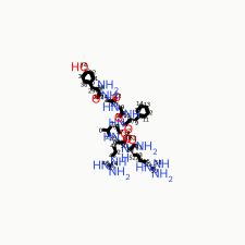 CC(C)C[C@H](NC(=O)[C@H](Cc1ccccc1)NC(=O)CNC(=O)CNC(=O)[C@@H](N)Cc1ccc(O)cc1)C(=O)N[C@@H](CCCNC(=N)N)C(=O)N[C@@H](CCCCNC(=N)N)C(N)=O